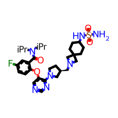 CC(C)N(C(=O)c1cc(F)ccc1Oc1cncnc1N1CC[C@@H](CN2CC3(CCC(NS(N)(=O)=O)CC3)C2)C1)C(C)C